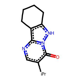 CC(C)c1cnc2c3c([nH]n2c1=O)CCCC3